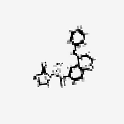 O=C1OCCN1[S+]([O-])Nc1ccc2c(c1)N(Cc1ccccc1)CCO2